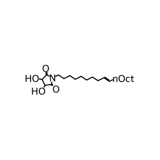 CCCCCCCCC=CCCCCCCCCN1C(=O)C(O)C(O)C1=O